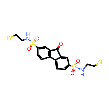 O=C1c2cc(S(=O)(=O)NCCS)ccc2-c2ccc(S(=O)(=O)NCCS)cc21